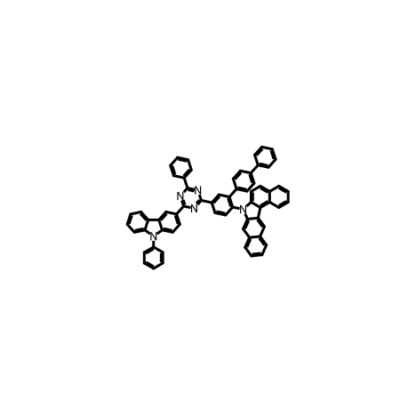 c1ccc(-c2ccc(-c3cc(-c4nc(-c5ccccc5)nc(-c5ccc6c(c5)c5ccccc5n6-c5ccccc5)n4)ccc3-n3c4cc5ccccc5cc4c4c5ccccc5ccc43)cc2)cc1